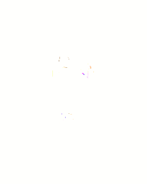 O=C(CCCCCCN1OSC(Cc2cccc(Br)c2)O1)NO